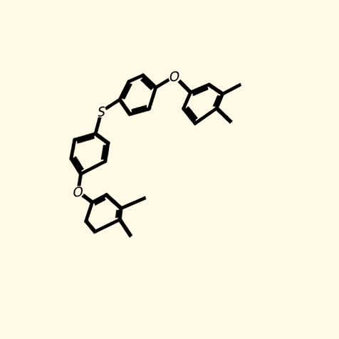 CC1=C(C)CCC(Oc2ccc(Sc3ccc(Oc4ccc(C)c(C)c4)cc3)cc2)=C1